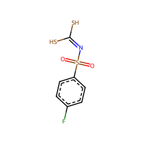 O=S(=O)(N=C(S)S)c1ccc(F)cc1